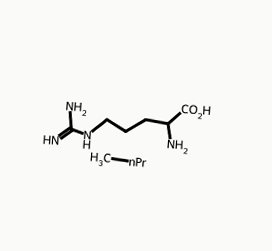 CCCC.N=C(N)NCCCC(N)C(=O)O